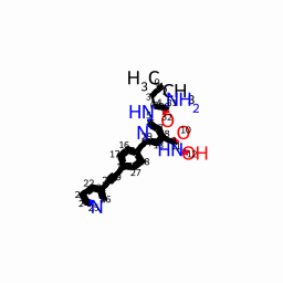 CC(C)C[C@H](Nc1cc(C(=O)NO)cc(-c2ccc(C#Cc3cccnc3)cc2)n1)C(N)=O